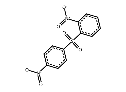 O=[N+]([O-])c1ccc(S(=O)(=O)c2ccccc2[N+](=O)[O-])cc1